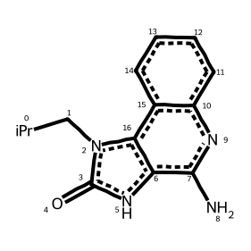 CC(C)Cn1c(=O)[nH]c2c(N)nc3ccccc3c21